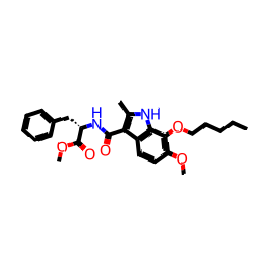 CCCCCOc1c(OC)ccc2c(C(=O)N[C@@H](Cc3ccccc3)C(=O)OC)c(C)[nH]c12